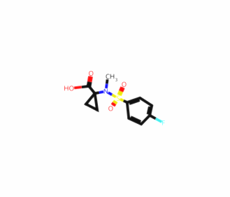 CN(C1(C(=O)O)CC1)S(=O)(=O)c1ccc(F)cc1